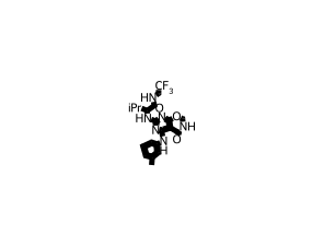 Cc1cccc(Nc2nc(NC(C(=O)NCC(F)(F)F)C(C)C)nc3c2C(=O)NCO3)c1